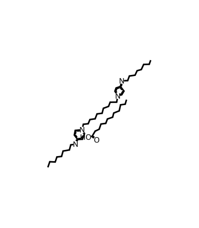 CCCCCCCCCCCC(=O)O.CCCCCCCCN=c1ccn(CCCCCCCCCCn2ccc(=NCCCCCCCC)cc2)cc1